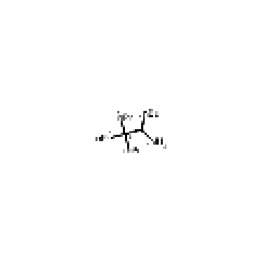 CCCCC(N)C(CCC)(CCC)CCC